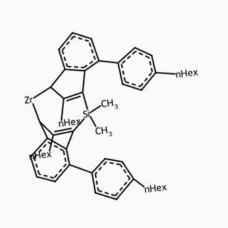 CCCCCCC1=C2c3c(-c4ccc(CCCCCC)cc4)cccc3[CH]1[Zr][CH]1C(CCCCCC)=C(c3c(-c4ccc(CCCCCC)cc4)cccc31)[Si]2(C)C